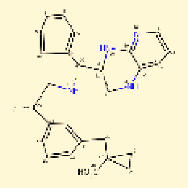 C[C@H](CN[C@H](c1ccccc1)[C@H]1CNc2cccnc2N1)c1cccc(CC2(C(=O)O)CC2)c1